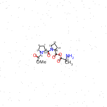 COC(=O)CN1CCC[C@H]1C(=O)N1CCC[C@H]1C(=O)OC(=O)C(C)N